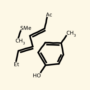 CC/C=C/C=C/C(C)=O.CSC.Cc1ccc(O)cc1